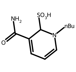 CCCCN1C=CC=C(C(N)=O)C1S(=O)(=O)O